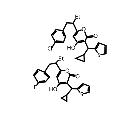 CCC(Cc1ccc(Cl)cc1)c1cc(O)c(C(c2cccs2)C2CC2)c(=O)o1.CCC(Cc1ccc(F)cc1)c1cc(O)c(C(c2cccs2)C2CC2)c(=O)o1